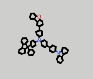 c1ccc(C2(c3ccc(N(c4ccc(-c5ccc(-n6c7ccccc7c7ccccc76)cc5)cc4)c4ccc(-c5ccc6oc7ccccc7c6c5)cc4)cc3)c3ccccc3-c3ccccc32)cc1